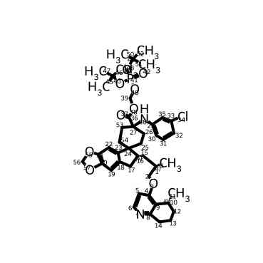 C[C@@H](COc1ccnc2c1[C@H](C)CCC2)C[C@H]1Cc2cc3c(cc2C12CCC(Nc1cccc(Cl)c1)(C(=O)OCOP(=O)(OC(C)(C)C)OC(C)(C)C)CC2)OCO3